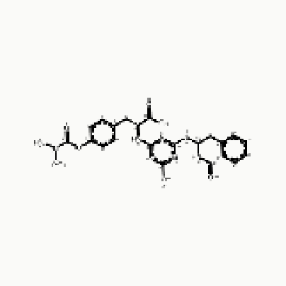 CN(C)C(=O)Oc1ccc(C[C@H](Nc2nc(O)nc(NC(Cc3ccccc3)NC=O)n2)C(=O)O)cc1